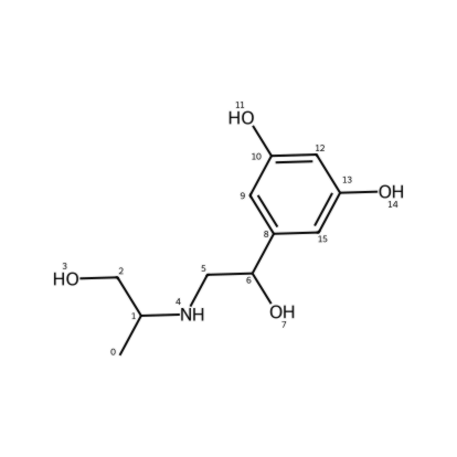 CC(CO)NCC(O)c1cc(O)cc(O)c1